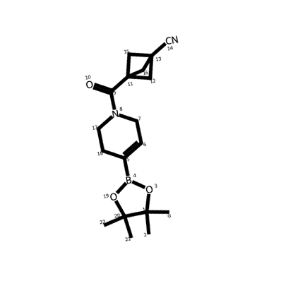 CC1(C)OB(C2=CCN(C(=O)C34CC(C#N)(C3)C4)CC2)OC1(C)C